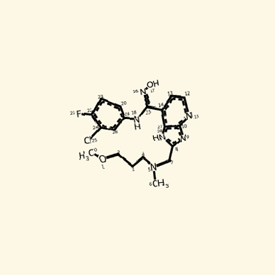 COCCCN(C)Cc1nc2nccc(/C(=N\O)Nc3ccc(F)c(Cl)c3)c2[nH]1